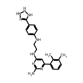 Cc1cccc(-c2cc(NCCNc3ccc(C4=NNNN4)cc3)nc(N)n2)c1C